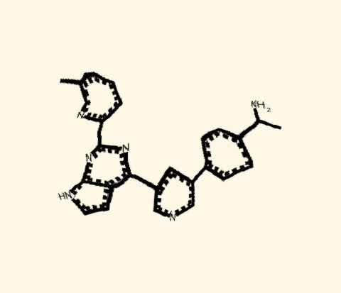 Cc1cccc(-c2nc(-c3cncc(-c4ccc(C(C)N)cc4)c3)c3cc[nH]c3n2)n1